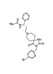 CC(C)(C)C(=O)N[C@@H](CCN1CCC2(CC1)NC(=O)N(Cc1ccc(Br)cc1)C2=O)c1ccccc1